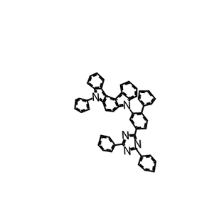 c1ccc(-c2nc(-c3ccccc3)nc(-c3ccc(-c4ccccc4)c(-n4c5ccccc5c5c6c7ccccc7n(-c7ccccc7)c6ccc54)c3)n2)cc1